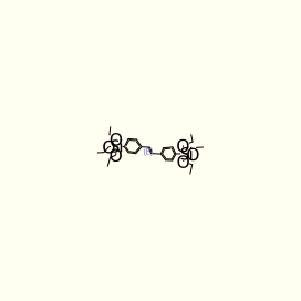 CCO[Si](OCC)(OCC)c1ccc(/C=C/c2ccc([Si](OCC)(OCC)OCC)cc2)cc1